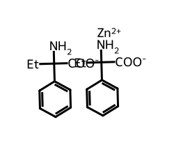 CCC(N)(C(=O)[O-])c1ccccc1.CCC(N)(C(=O)[O-])c1ccccc1.[Zn+2]